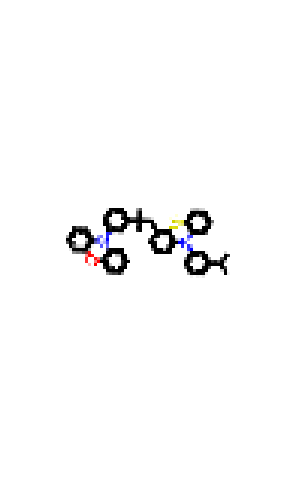 CC(C)c1cccc(N2c3ccccc3Sc3c(CC(C)(C)c4cccc(N5c6ccccc6Oc6ccccc65)c4)cccc32)c1